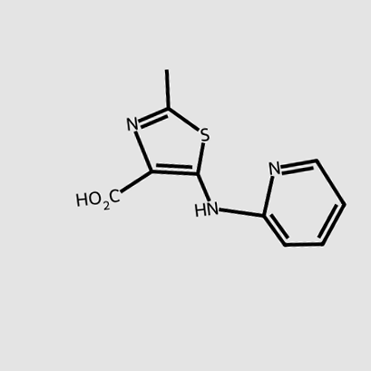 Cc1nc(C(=O)O)c(Nc2ccccn2)s1